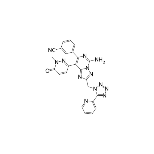 Cn1nc(-c2c(-c3cccc(C#N)c3)nc(N)n3nc(Cn4nnnc4-c4ccccn4)nc23)ccc1=O